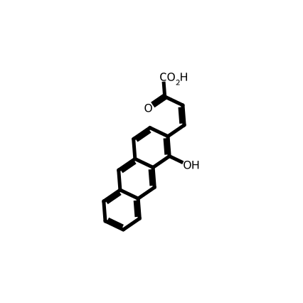 O=C(O)C(=O)/C=C\c1ccc2cc3ccccc3cc2c1O